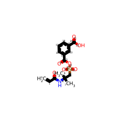 C=CC(=O)NC(C)(C)CS(=O)(=O)OC(=O)c1cccc(C(=O)O)c1